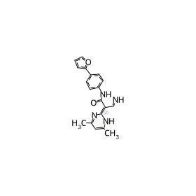 CC1=CC(C)=N/C(=C(/C=N)C(=O)Nc2ccc(-c3ccco3)cc2)N1